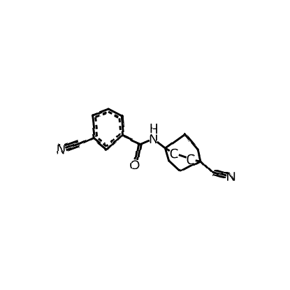 N#Cc1cccc(C(=O)NC23CCC(C#N)(CC2)CC3)c1